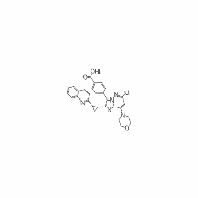 O=C(O)c1ccc(-c2c([C@@H]3C[C@H]3c3ccc4ccccc4n3)nc3c(N4CCOCC4)cc(Cl)nn23)cc1